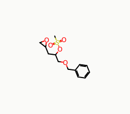 CS(=O)(=O)OC(COCc1ccccc1)CC1CO1